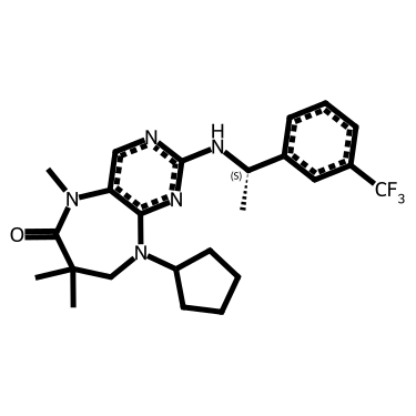 C[C@H](Nc1ncc2c(n1)N(C1CCCC1)CC(C)(C)C(=O)N2C)c1cccc(C(F)(F)F)c1